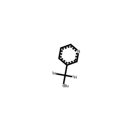 [2H]C([2H])(c1cccnc1)C(C)(C)C